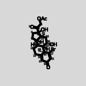 CC(=O)OCC(=O)[C@@]1(O)CC[C@H]2[C@@H]3CCC4=CC(=O)C=C(Br)[C@]4(C)[C@H]3[C@@H](O)C[C@@]21C